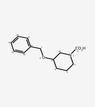 O=C(O)N1CCCC(OCc2ccccc2)C1